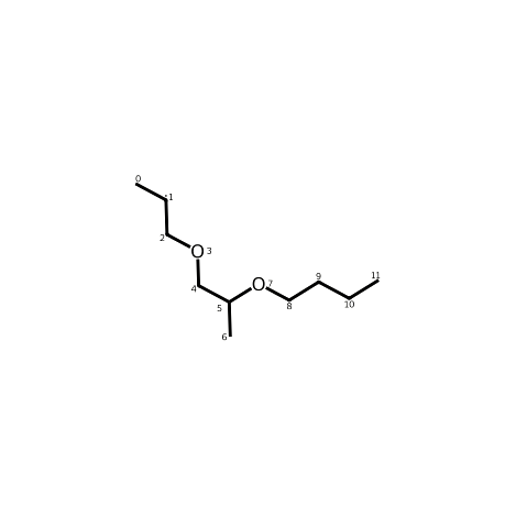 C[CH]COCC(C)OCCCC